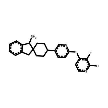 NC1c2ccccc2CC12CCC(c1ccc(Sc3ccnc(Cl)c3Cl)nc1)CC2